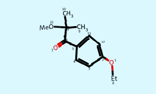 CCOc1ccc(C(=O)C(C)(C)OC)cc1